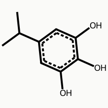 CC(C)c1cc(O)c(O)c(O)c1